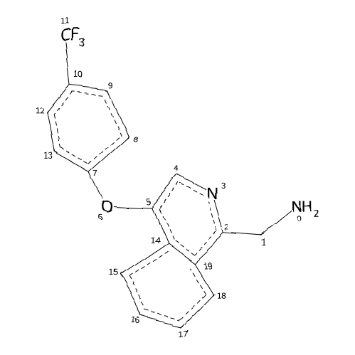 NCc1ncc(Oc2ccc(C(F)(F)F)cc2)c2ccccc12